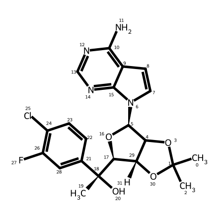 CC1(C)OC2[C@H](n3ccc4c(N)ncnc43)O[C@H]([C@](C)(O)c3ccc(Cl)c(F)c3)[C@H]2O1